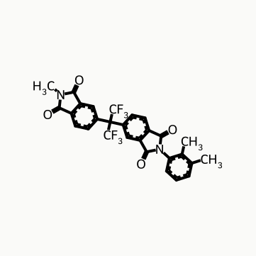 Cc1cccc(N2C(=O)c3ccc(C(c4ccc5c(c4)C(=O)N(C)C5=O)(C(F)(F)F)C(F)(F)F)cc3C2=O)c1C